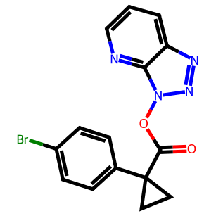 O=C(On1nnc2cccnc21)C1(c2ccc(Br)cc2)CC1